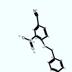 N#Cc1ccc(SCc2ccccc2)c([N+](=O)[O-])c1